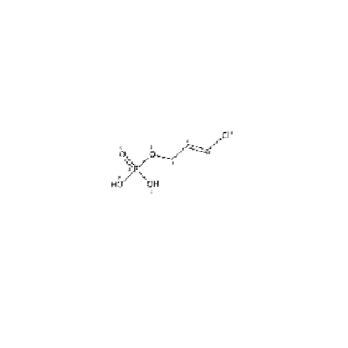 O=P(O)(O)OCC=CCl